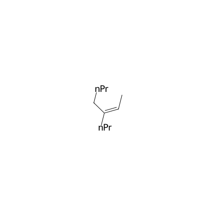 CC=C(CCC)CCCC